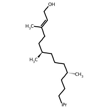 C/C(=C\CO)CC[C@H](C)CCC[C@H](C)CCCC(C)C